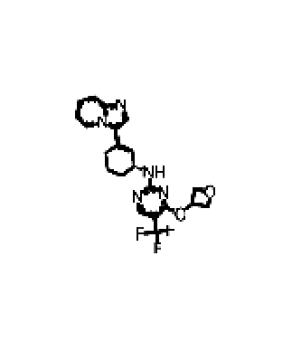 FC(F)(F)c1cnc(N[C@@H]2C=C(c3cnc4ccccn34)CCC2)nc1OC1COC1